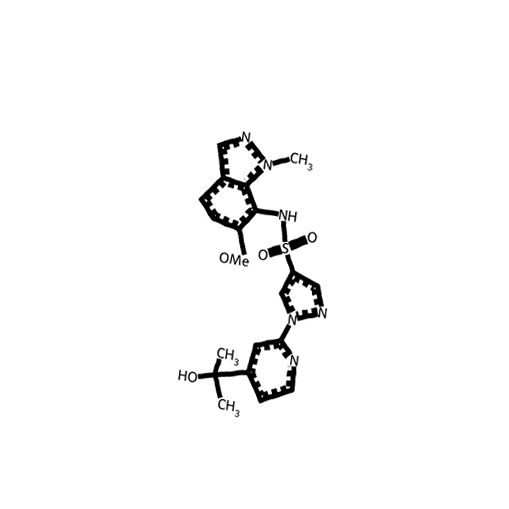 COc1ccc2cnn(C)c2c1NS(=O)(=O)c1cnn(-c2cc(C(C)(C)O)ccn2)c1